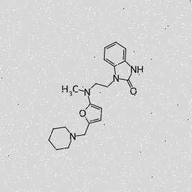 CN(CCn1c(=O)[nH]c2ccccc21)c1ccc(CN2CCCCC2)o1